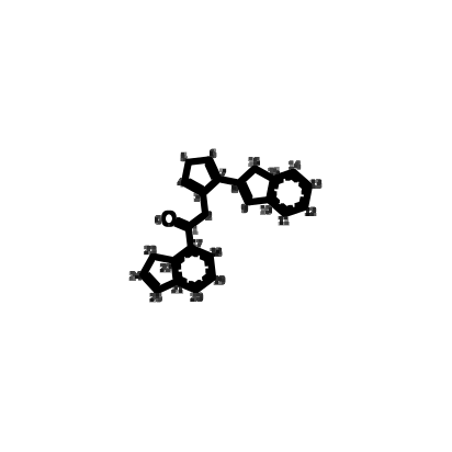 O=C(CC1=CCC=C1C1=Cc2ccccc2C1)c1cccc2c1CC=C2